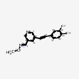 CO/N=C/c1cncc(C#Cc2ccc(F)c(F)c2)c1